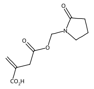 C=C(CC(=O)OCN1CCCC1=O)C(=O)O